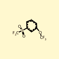 O=S(=O)(c1c[c]cc(OC(F)(F)F)c1)C(F)(F)F